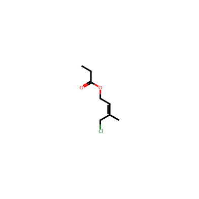 CCC(=O)OCC=C(C)CCl